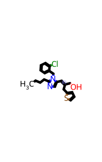 CCCCc1ncc(/C=C(/CO)Cc2cccs2)n1Cc1ccccc1Cl